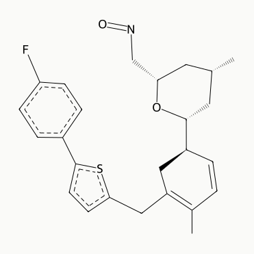 CC1=C(Cc2ccc(-c3ccc(F)cc3)s2)C[C@@H]([C@H]2C[C@@H](C)C[C@@H](CN=O)O2)C=C1